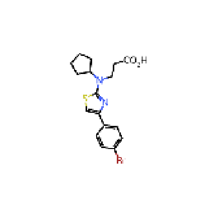 O=C(O)CCN(c1nc(-c2ccc(Br)cc2)cs1)C1CCCC1